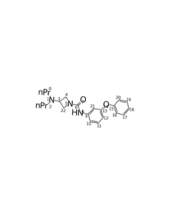 CCCN(CCC)C1CN(C(=O)Nc2cccc(Oc3ccccc3)c2)C1